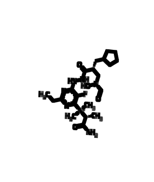 CCc1nc(NNC(=O)[C@H](CC2CCCC2)CN(O)C=O)c(F)c([N+](C)(C)[C@H](C)C(N)=O)n1